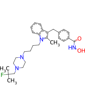 Cc1c(Cc2ccc(C(=O)NO)cc2)c2ccccc2n1CCCCN1CCN(CC(C)(C)F)CC1